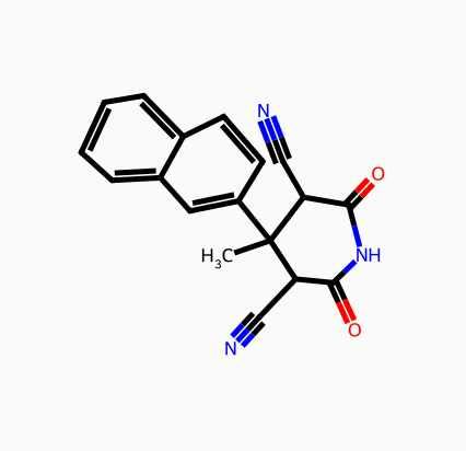 CC1(c2ccc3ccccc3c2)C(C#N)C(=O)NC(=O)C1C#N